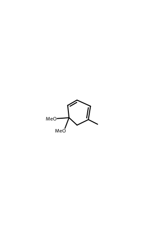 COC1(OC)C=CC=C(C)C1